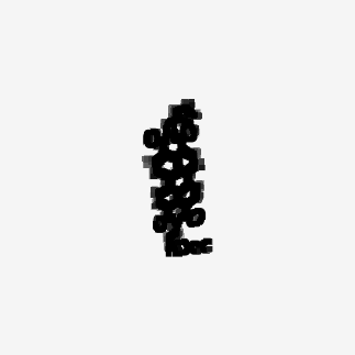 CCCCCCCCCCCCN1C(=O)c2ccc3c4ccc5c6c(ccc(c7ccc(c2c37)C1=O)c64)C(=O)N(Cc1cccs1)C5=O